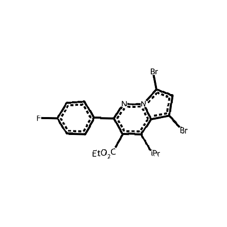 CCOC(=O)c1c(-c2ccc(F)cc2)nn2c(Br)cc(Br)c2c1C(C)C